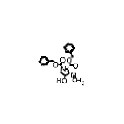 CO[C@H]1[C@@H](C(=O)OCc2ccccc2)N(C(=O)OCc2ccccc2)C[C@@H]1O